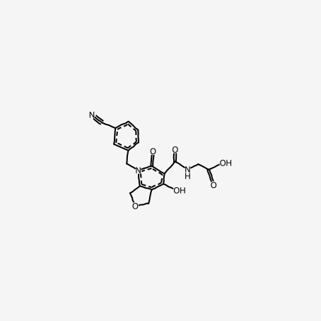 N#Cc1cccc(Cn2c3c(c(O)c(C(=O)NCC(=O)O)c2=O)COC3)c1